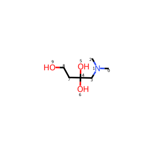 CN(C)CC(O)(O)CCO